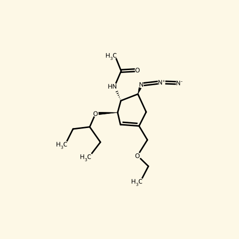 CCOCC1=C[C@@H](OC(CC)CC)[C@H](NC(C)=O)[C@@H](N=[N+]=[N-])C1